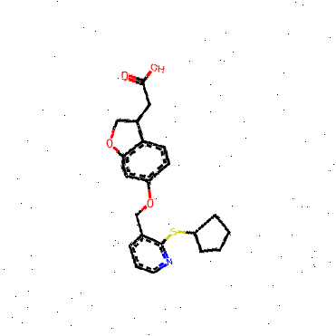 O=C(O)CC1COc2cc(OCc3cccnc3SC3CCCC3)ccc21